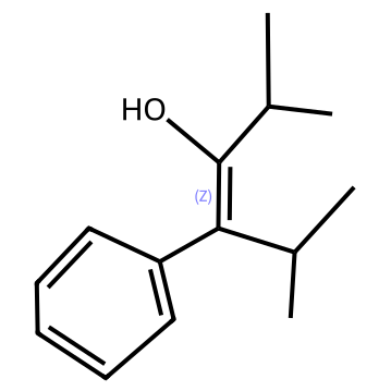 CC(C)/C(O)=C(/c1ccccc1)C(C)C